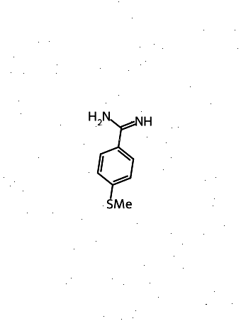 CSc1ccc(C(=N)N)cc1